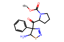 CC(C)(C)OC(=O)N1CCCC1C(=O)C1(c2ccccc2)N=NSC1N